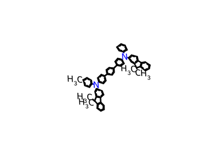 Cc1ccc(N(c2ccc(-c3ccc(-c4ccc(N(c5ccccc5)c5ccc6c(c5)C(C)(C)c5ccccc5-6)cc4)cc3)cc2)c2ccc3c(c2)C(C)(C)c2ccccc2-3)cc1